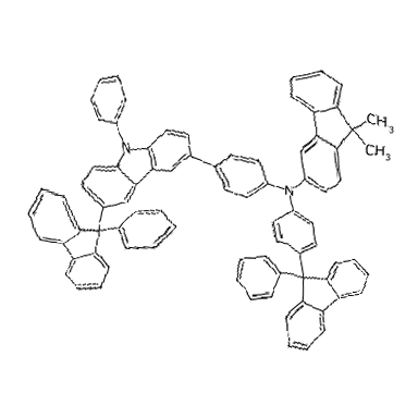 CC1(C)c2ccccc2-c2cc(N(c3ccc(-c4ccc5c(c4)c4cc(C6(c7ccccc7)c7ccccc7-c7ccccc76)ccc4n5-c4ccccc4)cc3)c3ccc(C4(c5ccccc5)c5ccccc5-c5ccccc54)cc3)ccc21